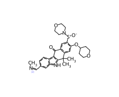 C/N=C\c1ccc2c3c([nH]c2c1)C(C)(C)c1cc(OC2CCOCC2)c([S+]([O-])N2CCOCC2)cc1C3=O